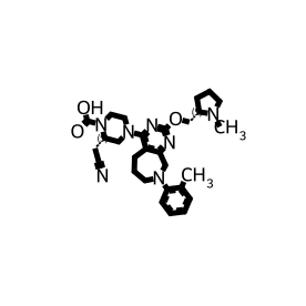 Cc1ccccc1N1CCCc2c(nc(OC[C@@H]3CCCN3C)nc2N2CCN(C(=O)O)[C@@H](CC#N)C2)C1